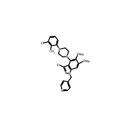 CCc1nn(Cc2ccncc2)c2cc(OC)c(OC)c(N3CCN(c4cccc(Cl)c4C)CC3)c12